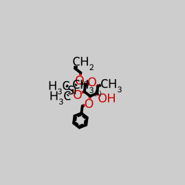 C=CCO[C@H]1OC(C)[C@H](O)C(OCc2ccccc2)C1O[Si](C)(C)C